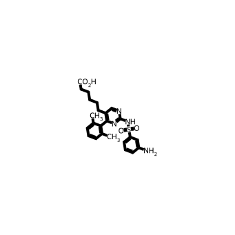 Cc1cccc(C)c1-c1nc(NS(=O)(=O)c2cccc(N)c2)ncc1CCCCCC(=O)O